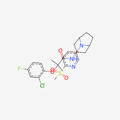 CC(C)(Oc1ccc(F)cc1Cl)C(=O)NC1CC2CCC(C1)N2c1ccc(S(C)(=O)=O)nc1